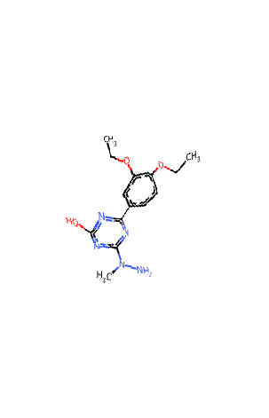 CCOc1ccc(-c2nc(O)nc(N(C)N)n2)cc1OCC